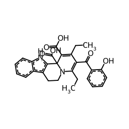 CCC1=C(C(=O)O)C2(C(=O)O)c3[nH]c4ccccc4c3CCN2C(CC)=C1C(=O)c1ccccc1O